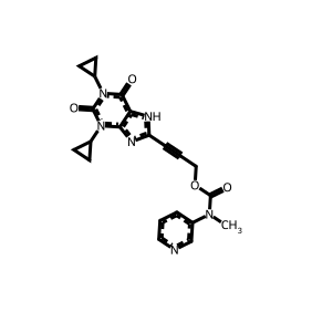 CN(C(=O)OCC#Cc1nc2c([nH]1)c(=O)n(C1CC1)c(=O)n2C1CC1)c1cccnc1